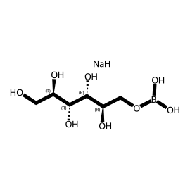 OC[C@@H](O)[C@@H](O)[C@H](O)[C@H](O)COB(O)O.[NaH]